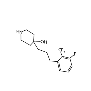 OC1(CCCc2cccc(F)c2C(F)(F)F)CCNCC1